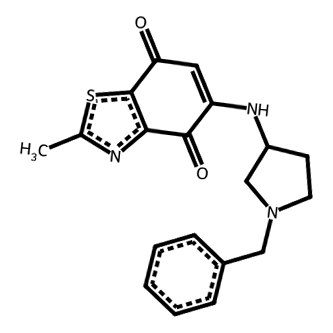 Cc1nc2c(s1)C(=O)C=C(NC1CCN(Cc3ccccc3)C1)C2=O